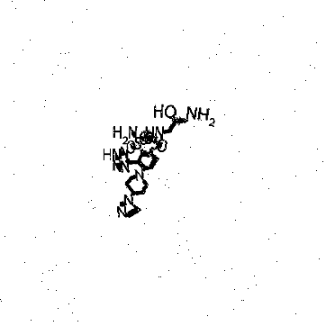 NC[C@@H](O)CNS(=O)(=O)c1ccc(N2CCC(n3ccnc3)CC2)c(-c2nn[nH]n2)c1S(N)(=O)=O